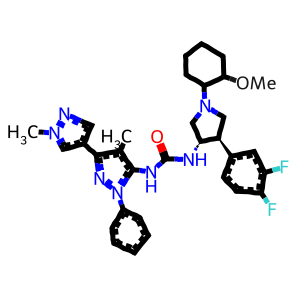 COC1CCCCC1N1C[C@@H](NC(=O)Nc2c(C)c(-c3cnn(C)c3)nn2-c2ccccc2)[C@H](c2ccc(F)c(F)c2)C1